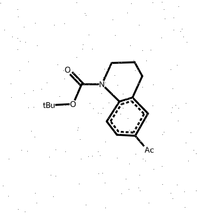 CC(=O)c1ccc2c(c1)CCCN2C(=O)OC(C)(C)C